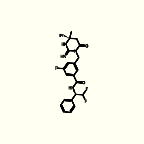 CC(C)[C@]1(C)CC(=O)N(Cc2cc(F)cc(C(=O)N[C@H](c3ccccc3)C(F)F)c2)C(=N)N1